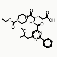 CCOC(=O)N1CCN(C(=O)[C@H](CCC(=O)O)NC(=O)c2cc(CC(C)OC)nc(-c3ccccc3)n2)CC1